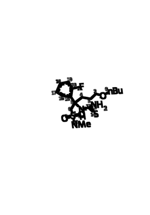 CCCCOCCCC(CS(=O)(=O)NC)(NC(N)=S)c1ccccc1F